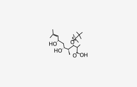 CC(C)=C[C@@H](O)C[C@@H](O)[C@H](C)[C@H](O[Si](C)(C)C(C)(C)C)C(C)C(=O)O